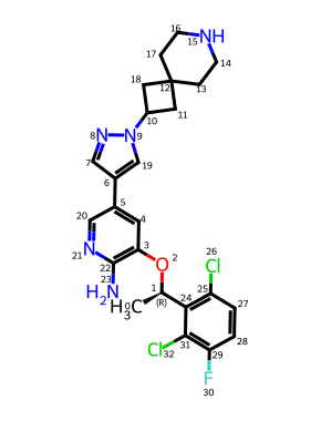 C[C@@H](Oc1cc(-c2cnn(C3CC4(CCNCC4)C3)c2)cnc1N)c1c(Cl)ccc(F)c1Cl